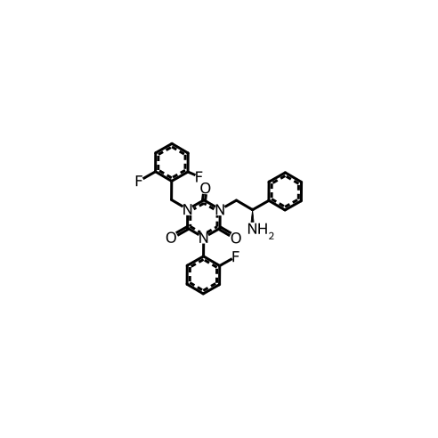 N[C@@H](Cn1c(=O)n(Cc2c(F)cccc2F)c(=O)n(-c2ccccc2F)c1=O)c1ccccc1